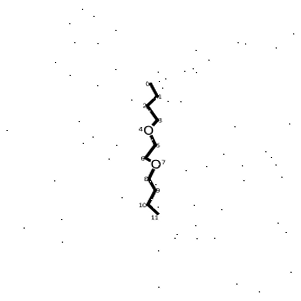 CC[CH]COCCOCCCC